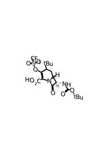 CC(C)(C)OC(=O)N[C@@H]1C(=O)N2C(C(=O)O)=C(OS(=O)(=O)C(F)(F)F)C(C(C)(C)C)C[C@H]12